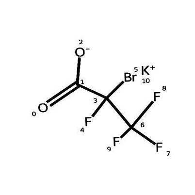 O=C([O-])C(F)(Br)C(F)(F)F.[K+]